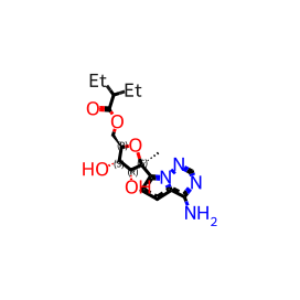 CCC(CC)C(=O)OC[C@H]1O[C@@](C)(c2ccc3c(N)ncnn23)[C@H](O)[C@@H]1O